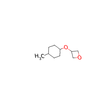 CC1CCC(OC2COC2)CC1